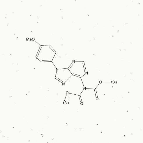 COc1ccc(-n2cnc3c(N(C(=O)OC(C)(C)C)C(=O)OC(C)(C)C)ncnc32)cc1